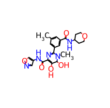 Cc1cc(C(=O)NC2CCOCC2)cc(C2=NC(C(=O)Nc3cnoc3)=C(O)C(O)N2C)c1